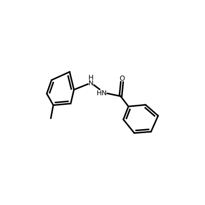 Cc1cccc(NNC(=O)c2ccccc2)c1